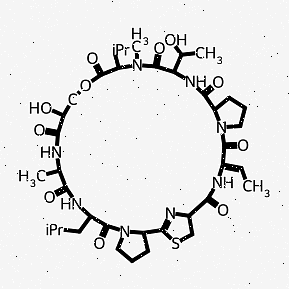 C/C=C1\NC(=O)C2CSC(=N2)C2CCCN2C(=O)C(CC(C)C)NC(=O)C(C)NC(=O)C(O)COC(=O)C(C(C)C)N(C)C(=O)C(C(C)O)NC(=O)C2CCCN2C1=O